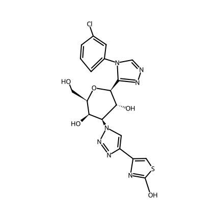 OC[C@H]1O[C@@H](c2nncn2-c2cccc(Cl)c2)[C@H](O)[C@@H](n2cc(-c3csc(O)n3)nn2)[C@H]1O